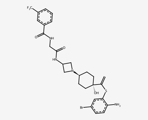 C=C(Sc1cc(Br)ccc1N)[C@]1(O)CC[C@H](N2CC(NC(=O)CNC(=O)c3cccc(C(F)(F)F)c3)C2)CC1